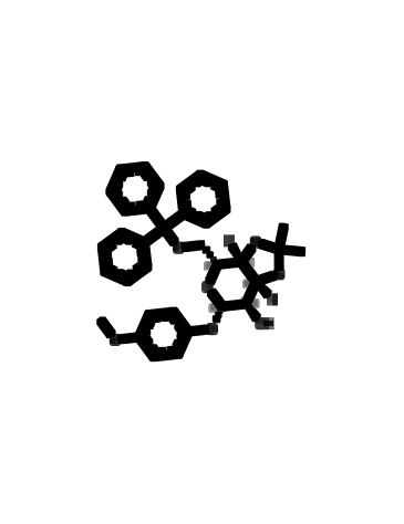 COc1ccc(O[C@@H]2O[C@H](COC(c3ccccc3)(c3ccccc3)c3ccccc3)[C@@H]3OC(C)(C)O[C@@H]3[C@H]2O)cc1